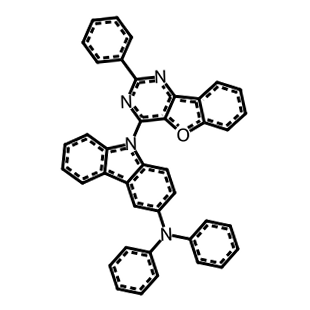 c1ccc(-c2nc(-n3c4ccccc4c4cc(N(c5ccccc5)c5ccccc5)ccc43)c3oc4ccccc4c3n2)cc1